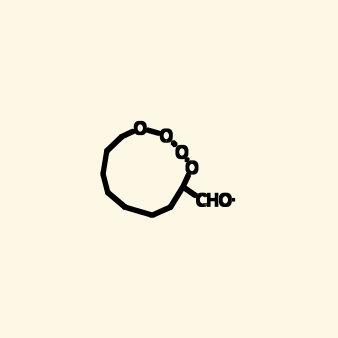 O=[C]C1CCCCCCCOOOO1